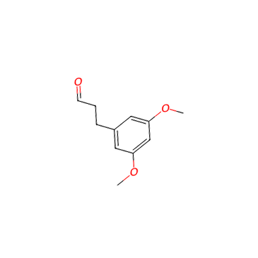 COc1cc(CCC=O)cc(OC)c1